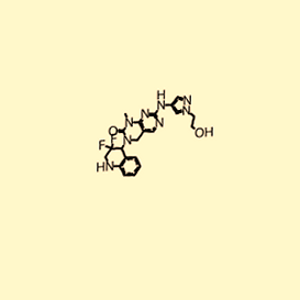 CN1C(=O)N(C2c3ccccc3NCC2(F)F)Cc2cnc(Nc3cnn(CCO)c3)nc21